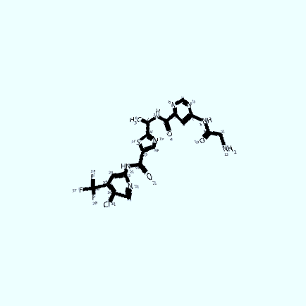 CC(NC(=O)c1cc(NC(=O)CN)ncn1)c1ncc(C(=O)Nc2cc(C(F)(F)F)c(Cl)cn2)s1